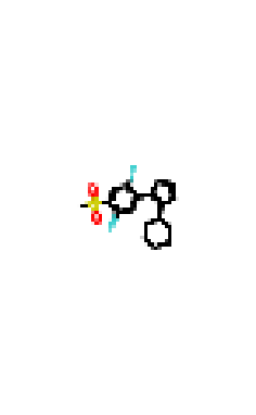 CS(=O)(=O)c1cc(F)c(C2=C(C3CCCCC3)C=CC2)cc1F